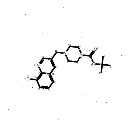 CC(C)(C)OC(=O)N1CCN(Cc2cnc3c(O)cccc3c2)CC1